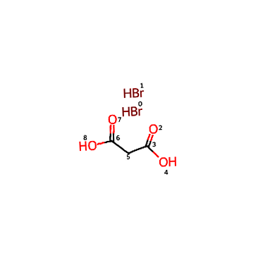 Br.Br.O=C(O)CC(=O)O